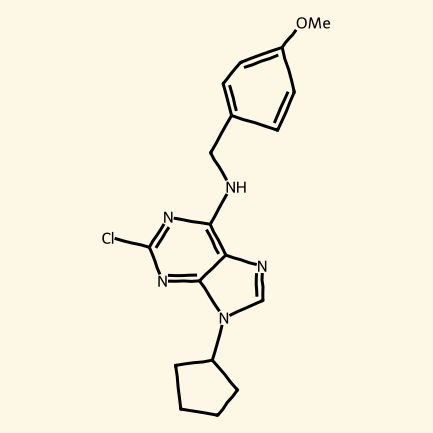 COc1ccc(CNc2nc(Cl)nc3c2ncn3C2CCCC2)cc1